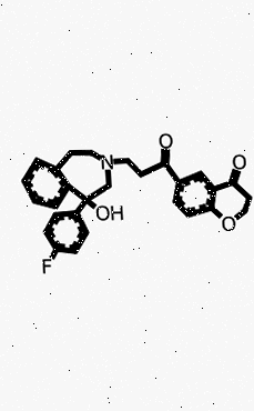 O=C(CCN1CCc2ccccc2C(O)(c2ccc(F)cc2)C1)c1ccc2c(c1)C(=O)CCO2